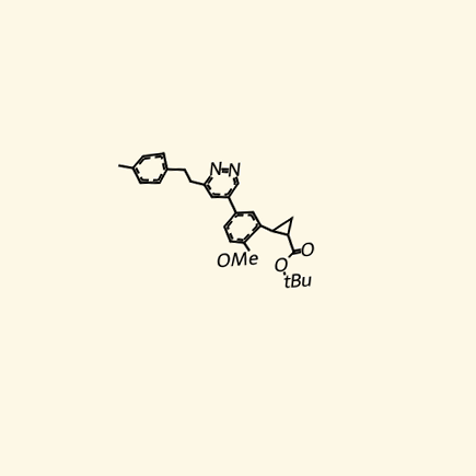 COc1ccc(-c2cnnc(CCc3ccc(C)cc3)c2)cc1C1CC1C(=O)OC(C)(C)C